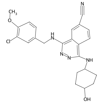 COc1ccc(CNc2nnc(NC3CCC(O)CC3)c3ccc(C#N)cc23)cc1Cl